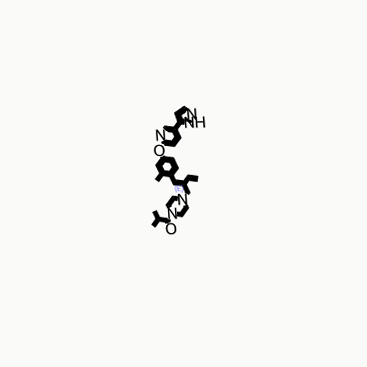 C=C/C(=C\c1ccc(Oc2ccc(-c3ccn[nH]3)cn2)cc1C)CN1CCN(C(=O)C(C)C)CC1